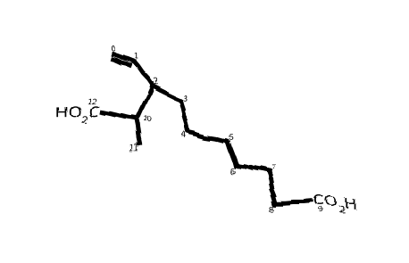 C=CC(CCCCCCC(=O)O)C(C)C(=O)O